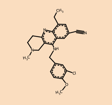 CCc1cc(C#N)cc2c(NCc3ccc(OC)c(Cl)c3)c3c(nc12)CCN(C)C3